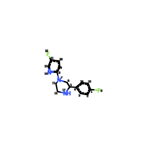 Fc1ccc(C2CN(c3ccc(F)cn3)CCN2)cc1